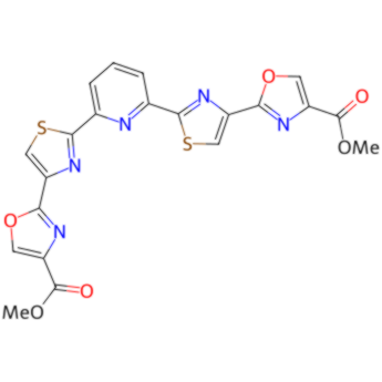 COC(=O)c1coc(-c2csc(-c3cccc(-c4nc(-c5nc(C(=O)OC)co5)cs4)n3)n2)n1